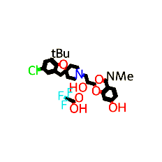 CNC(=O)c1ccc(O)cc1OC[C@@H](O)CN1CCC2(CC1)Cc1cc(Cl)cc(C(C)(C)C)c1O2.O=C(O)C(F)(F)F